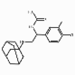 CC(=S)NC(CNC12CC3CC(CC(C3)C1)C2)c1ccc(Cl)c(Cl)c1